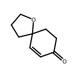 O=C1C=CC2(CCCO2)CC1